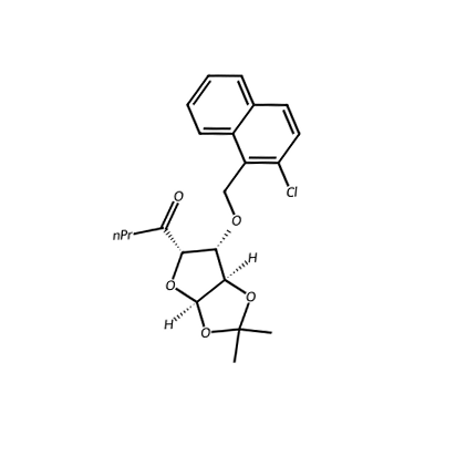 CCCC(=O)[C@H]1O[C@@H]2OC(C)(C)O[C@@H]2[C@H]1OCc1c(Cl)ccc2ccccc12